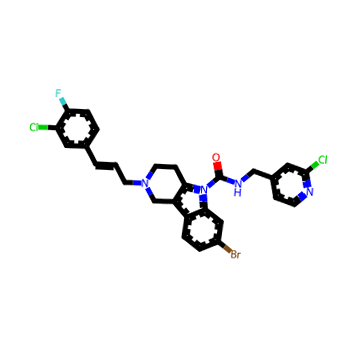 O=C(NCc1ccnc(Cl)c1)n1c2c(c3ccc(Br)cc31)CN(CC=Cc1ccc(F)c(Cl)c1)CC2